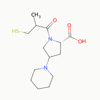 CC(CS)C(=O)N1CC(N2CCCCC2)C[C@H]1C(=O)O